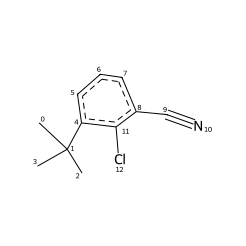 CC(C)(C)c1cccc(C#N)c1Cl